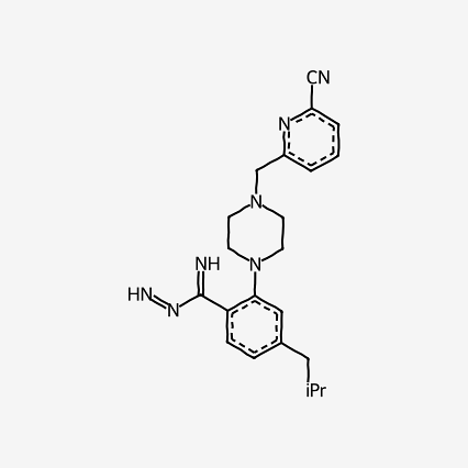 CC(C)Cc1ccc(C(=N)N=N)c(N2CCN(Cc3cccc(C#N)n3)CC2)c1